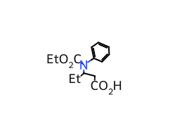 CCOC(=O)N(c1ccccc1)C(CC)CC(=O)O